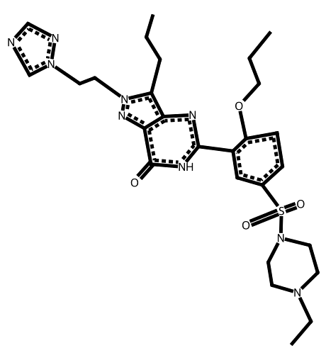 CCCOc1ccc(S(=O)(=O)N2CCN(CC)CC2)cc1-c1nc2c(CCC)n(CCn3cncn3)nc2c(=O)[nH]1